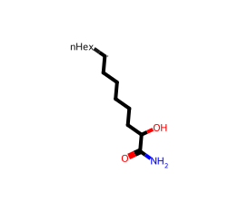 CCCCCC[CH]CCCCCC(O)C(N)=O